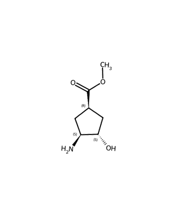 COC(=O)[C@@H]1C[C@H](N)[C@@H](O)C1